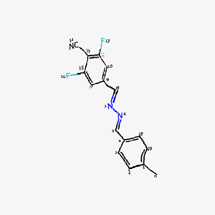 Cc1ccc(/C=N/N=C/c2cc(F)c(C#N)c(F)c2)cc1